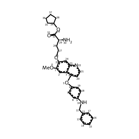 COc1cc2c(Oc3ccc(NCc4ccccc4)cc3)ccnc2cc1OCC[C@H](N)C(=O)OC1CCCC1